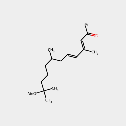 COC(C)(C)CCCC(C)CC=CC(C)=CC(=O)C(C)C